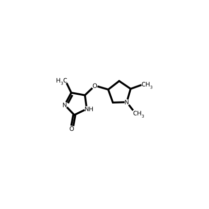 CC1=NC(=O)NC1OC1CC(C)N(C)C1